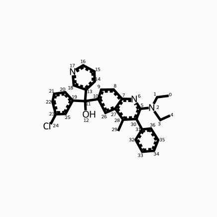 CCN(CC)c1nc2ccc(C(O)(c3cccnc3)c3cccc(Cl)c3)cc2c(C)c1-c1ccccc1